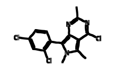 Cc1nc(Cl)c2c(C)n(C)c(-c3ccc(Cl)cc3Cl)c2n1